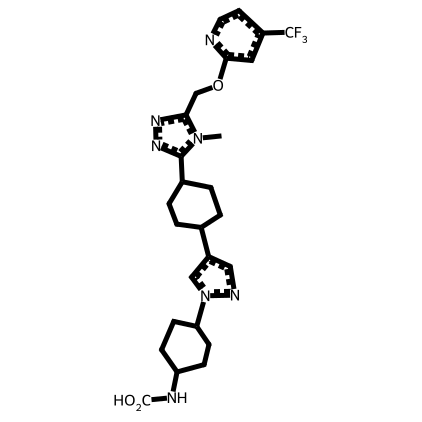 Cn1c(COc2cc(C(F)(F)F)ccn2)nnc1C1CCC(c2cnn(C3CCC(NC(=O)O)CC3)c2)CC1